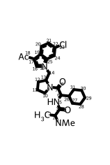 CNC(C)C(=O)NC(C(=O)N1CCCC1Cn1cc(C(C)=O)c2ccc(Cl)cc21)C1CCCCC1